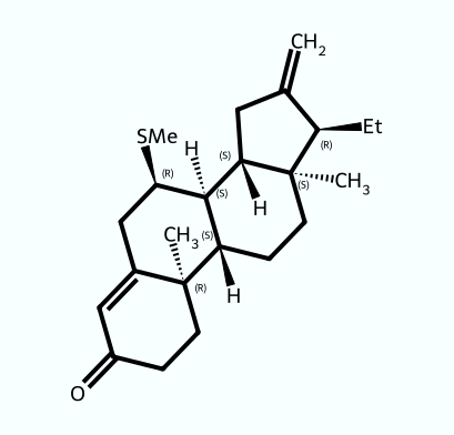 C=C1C[C@H]2[C@@H]3[C@H](SC)CC4=CC(=O)CC[C@]4(C)[C@H]3CC[C@]2(C)[C@@H]1CC